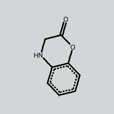 O=C1CNc2c[c]ccc2O1